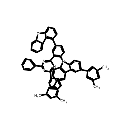 Cc1cc(C)cc(-c2ccc3c(c2)c2cc(-c4cc(C)cc(C)c4)ccc2n3-c2ccc(-c3cccc4oc5ccccc5c34)cc2-c2nc(-c3ccccc3)nc(-c3ccccc3)n2)c1